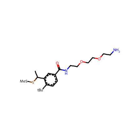 CSSC(C)c1cc(C(=O)NCCOCCOCCN)ccc1C(C)(C)C